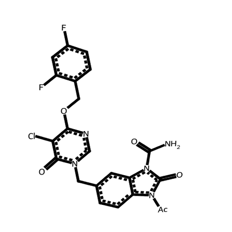 CC(=O)n1c(=O)n(C(N)=O)c2cc(Cn3cnc(OCc4ccc(F)cc4F)c(Cl)c3=O)ccc21